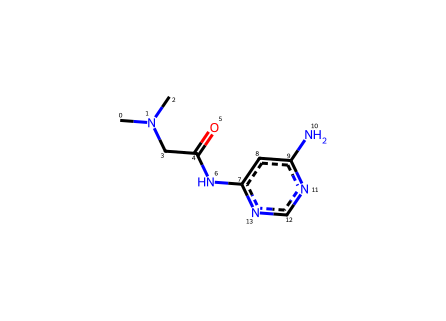 CN(C)CC(=O)Nc1cc(N)ncn1